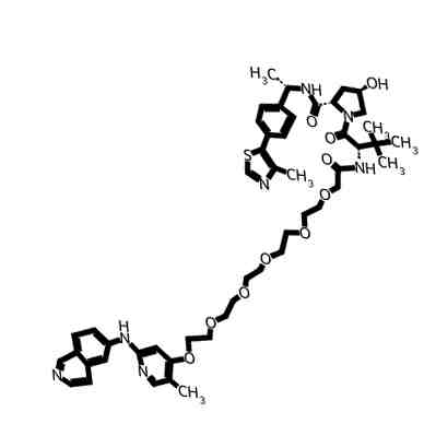 Cc1cnc(Nc2ccc3cnccc3c2)cc1OCCOCCOCCOCCOCCOCC(=O)N[C@H](C(=O)N1C[C@H](O)C[C@H]1C(=O)N[C@@H](C)c1ccc(-c2scnc2C)cc1)C(C)(C)C